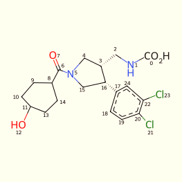 O=C(O)NC[C@H]1CN(C(=O)C2CCC(O)CC2)C[C@H]1c1ccc(Cl)c(Cl)c1